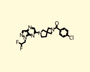 O=C(c1ccc(Cl)cc1)N1CC2(CCN(c3cnc4cnn(CC(F)F)c4n3)C2)C1